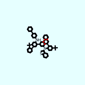 CC(C)(C)c1ccc(N(c2cc(-c3ccccc3)cc(-c3cc4c(cc3Nc3ccc(-c5ccccc5)cc3)C(C)(C)c3ccccc3-4)c2)c2csc3ccccc23)c(-c2ccccc2)c1